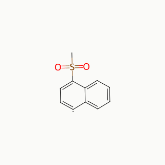 CS(=O)(=O)c1cc[c]c2ccccc12